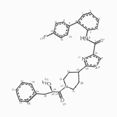 O=C(Nc1ccccc1-c1ccc(F)cc1)c1csc(C2CCN(C(=O)[C@H](O)Cc3ccccc3)CC2)n1